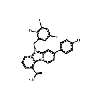 NC(=O)c1cccc2c1c1[c]cc(-c3ccc(Cl)cc3)cc1n2Cc1cc(F)cc(F)c1F